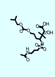 CC(=O)NCCCS(=O)(=O)OC(CCCOC(=O)OCC(C)C)C(C)(C)[C@@H](O)C(=O)O